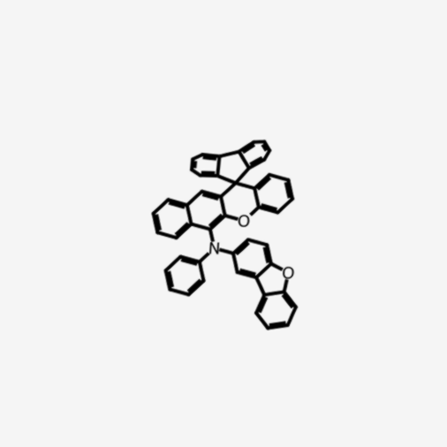 c1ccc(N(c2ccc3oc4ccccc4c3c2)c2c3c(cc4ccccc24)C2(c4ccccc4O3)c3ccccc3-c3ccccc32)cc1